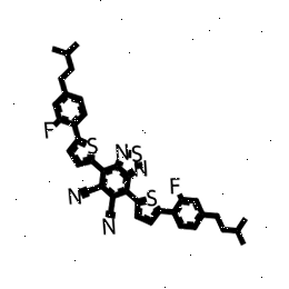 CC(C)CCc1ccc(-c2ccc(-c3c(C#N)c(C#N)c(-c4ccc(-c5ccc(CCC(C)C)cc5F)s4)c4nsnc34)s2)c(F)c1